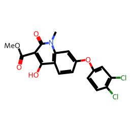 COC(=O)c1c(O)c2ccc(Oc3ccc(Cl)c(Cl)c3)cc2n(C)c1=O